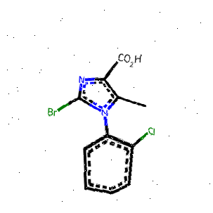 Cc1c(C(=O)O)nc(Br)n1-c1ccccc1Cl